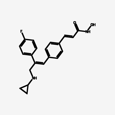 O=C(C=Cc1ccc(/C=C(/CNC2CC2)c2ccc(F)cc2)cc1)NO